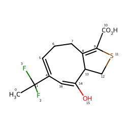 CC(F)(F)C1=C/CCC2=C(C(=O)O)SCC2/C(O)=C\1